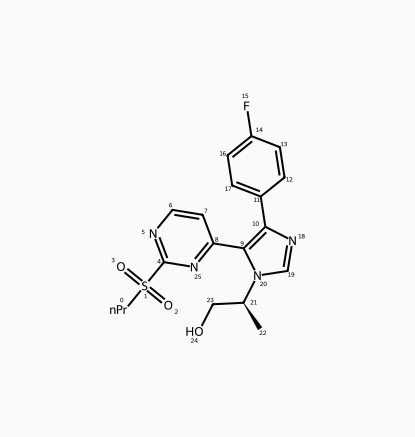 CCCS(=O)(=O)c1nccc(-c2c(-c3ccc(F)cc3)ncn2[C@@H](C)CO)n1